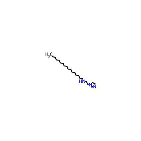 CCCCCCCCCCCCCCCCCNCCN1C=NCC1